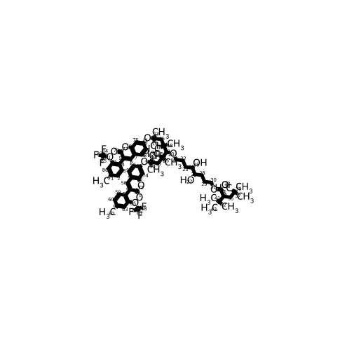 Cc1ccc(-c2cc3ccc(OC(C)(C)CC(C)(C)C(OCCCC(O)C(O)CCCOC(=O)C(CC(C)(C)C)C(C)(C)C)C(C)(C)CC(C)(C)Oc4ccc5cc(-c6ccc(C)cc6OC(F)(F)F)c(=O)oc5c4)cc3oc2=O)c(OC(F)(F)F)c1